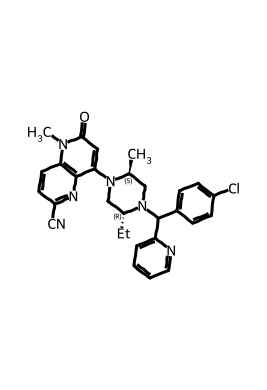 CC[C@@H]1CN(c2cc(=O)n(C)c3ccc(C#N)nc23)[C@@H](C)CN1C(c1ccc(Cl)cc1)c1ccccn1